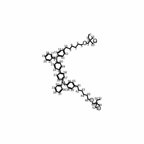 CCC1(COCCCCCCc2ccc(N(c3ccccc3)c3ccc(-c4ccc(N(c5ccccc5)c5ccc(CCCCCCOCC6(CC)COC6)cc5)cc4)cc3)cc2)COC1